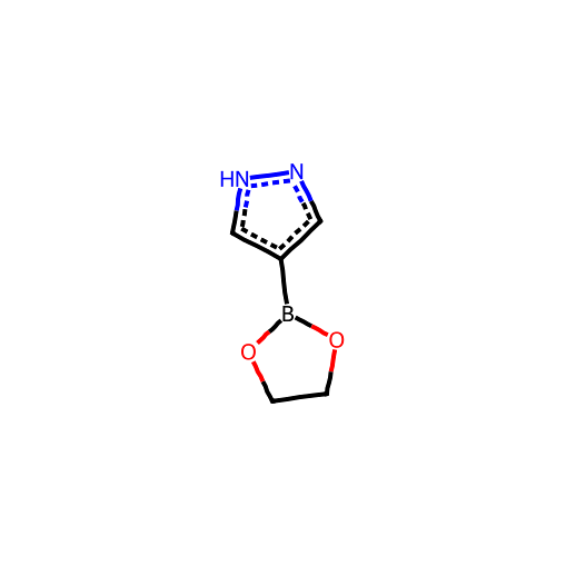 c1n[nH]cc1B1OCCO1